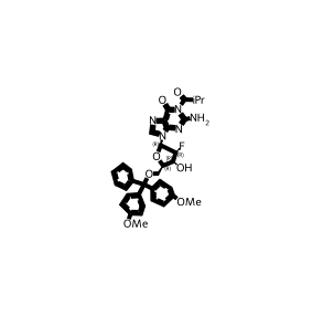 COc1ccc(C(OC[C@H]2O[C@@H](n3cnc4c(=O)n(C(=O)C(C)C)c(N)nc43)[C@H](F)[C@@H]2O)(c2ccccc2)c2ccc(OC)cc2)cc1